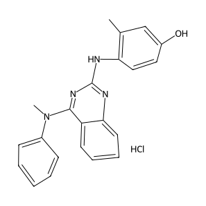 Cc1cc(O)ccc1Nc1nc(N(C)c2ccccc2)c2ccccc2n1.Cl